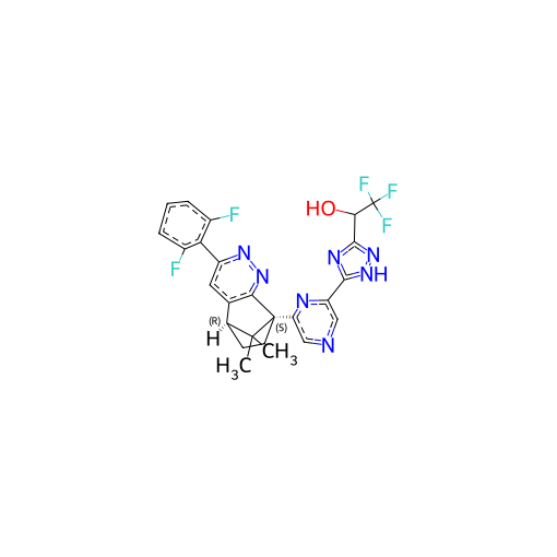 CC1(C)[C@H]2CC[C@]1(c1cncc(-c3nc(C(O)C(F)(F)F)n[nH]3)n1)c1nnc(-c3c(F)cccc3F)cc12